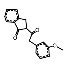 COc1cccc(CC(=O)C2Cc3ccccc3C2=O)c1